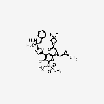 CC1CC1CN(CC(=O)N1CC(F)(F)C1)c1cc(-c2nnc([C@](C)(N)Cc3ccccc3)o2)c(Cl)c(N(C)S(C)(=O)=O)n1